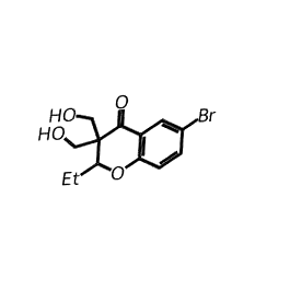 CCC1Oc2ccc(Br)cc2C(=O)C1(CO)CO